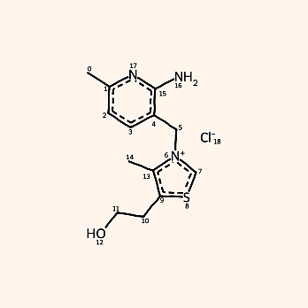 Cc1ccc(C[n+]2csc(CCO)c2C)c(N)n1.[Cl-]